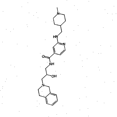 CN1CCC(CNc2cc(C(=O)NCC(O)CN3CCc4ccccc4C3)ccn2)CC1